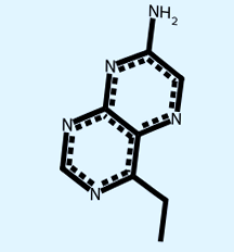 CCc1ncnc2nc(N)cnc12